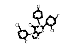 O=c1c2c(ncn2-c2cc(Cl)ccc2Cl)nc(-c2ccc(Cl)cc2Cl)n1-c1ccc(Cl)cc1